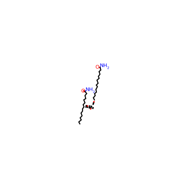 C=C.C=C.C=C.C=C.C=C.C=C.CCCCCCCCCCCCCCCC(N)=O.CCCCCCCCCCCCCCCC(N)=O